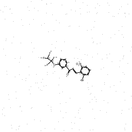 O=C(C=Cc1c(Br)cccc1[N+](=O)[O-])c1cccc(OC(F)(F)C(F)F)c1